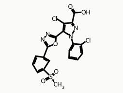 CS(=O)(=O)c1cccc(-c2nnc(-c3c(Cl)c(C(=O)O)nn3-c3ccccc3Cl)o2)c1